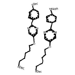 CCCCCCCCCCCCCCCOc1cnc(-c2ccc(CCCCCCCCC)cc2)nc1.CCCCCCCCCCCCCCCOc1cnc(-c2ccc(CCCCCCCCCC)cc2)nc1